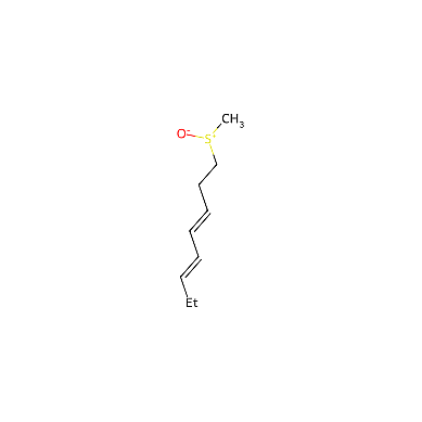 CCC=CC=CCC[S+](C)[O-]